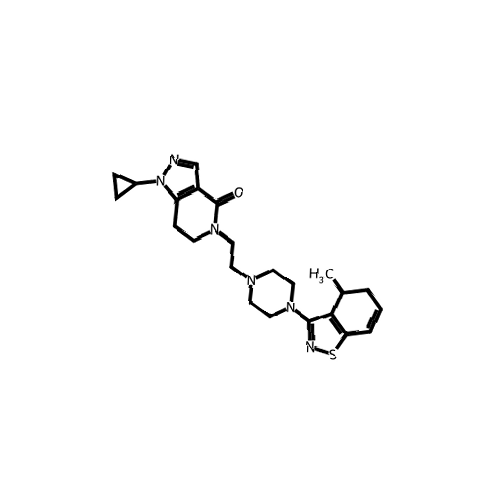 CC1CC=Cc2snc(N3CCN(CCN4CCc5c(cnn5C5CC5)C4=O)CC3)c21